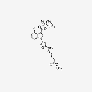 COC(=O)CCCONc1cc(-c2cn(C(=O)OC(C)(C)C)c3c(F)cccc23)co1